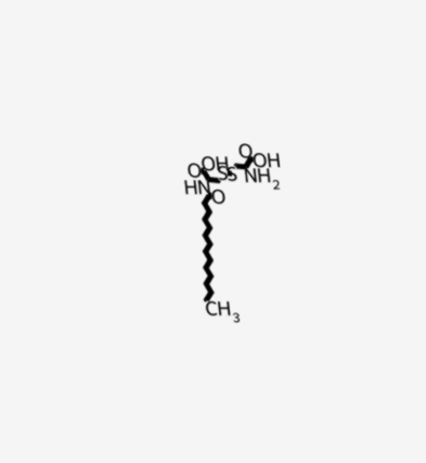 CCCCCCCCCCCCCCC(=O)NC(CSSCC(N)C(=O)O)C(=O)O